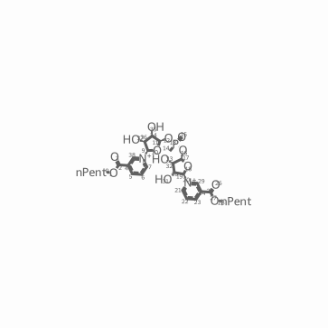 CCCCCOC(=O)c1ccc[n+]([C@@H]2O[C@H](OP(C)(=O)O[C@H]3O[C@@H]([n+]4cccc(C(=O)OCCCCC)c4)[C@@H](O)[C@H]3O)[C@H](O)[C@@H]2O)c1